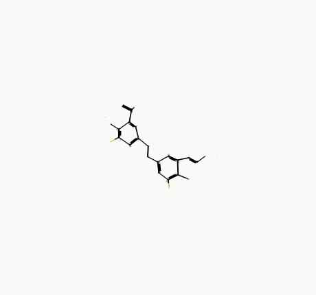 C=C(C)c1cc(CCc2cc(F)c(C)c(/C=C/C)c2)cc(F)c1C